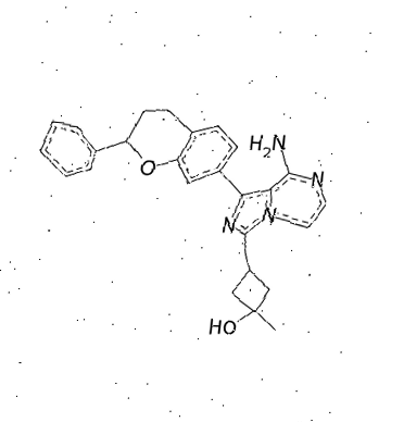 CC1(O)CC(c2nc(-c3ccc4c(c3)OC(c3ccccc3)CC4)c3c(N)nccn23)C1